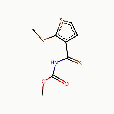 COC(=O)NC(=S)c1ccsc1SC